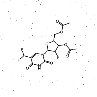 CC(=O)OC[C@@H]1O[C@H](n2cc(C(F)F)c(=O)[nH]c2=O)C(F)C1OC(C)=O